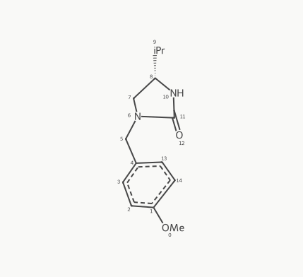 COc1ccc(CN2C[C@H](C(C)C)NC2=O)cc1